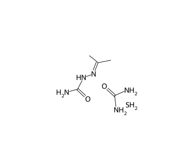 CC(C)=NNC(N)=O.NC(N)=O.S